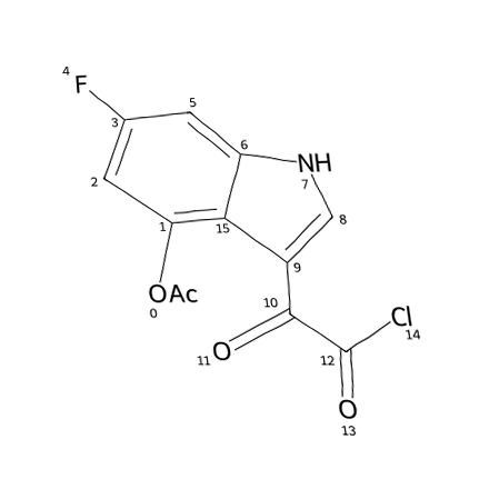 CC(=O)Oc1cc(F)cc2[nH]cc(C(=O)C(=O)Cl)c12